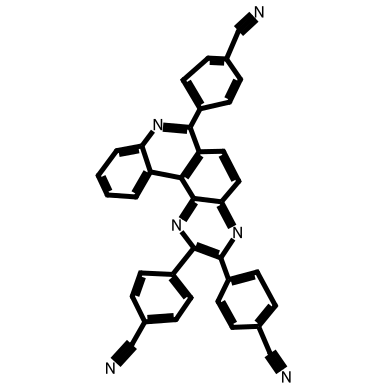 N#Cc1ccc(-c2nc3ccc4c(-c5ccc(C#N)cc5)nc5ccccc5c4c3nc2-c2ccc(C#N)cc2)cc1